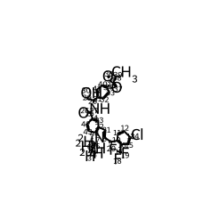 [2H]C([2H])([2H])C([2H])([2H])n1c(Cc2ccc(Cl)cc2C(F)(F)F)cc2cc(C(=O)NC(CO)c3ccc(S(=O)(=O)CC)cc3)ccc21